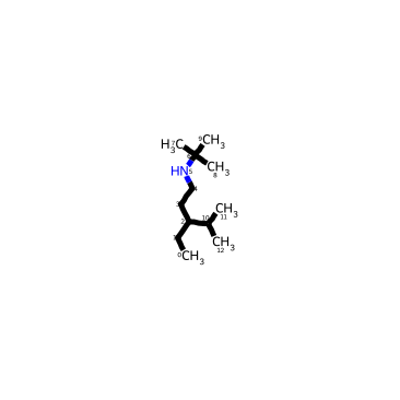 CCC(CCNC(C)(C)C)C(C)C